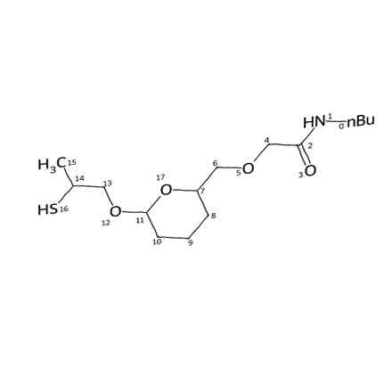 CCCCNC(=O)COCC1CCCC(OCC(C)S)O1